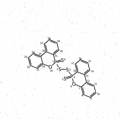 S=P1(SSP2(=S)Oc3ccccc3-c3ccccc32)Oc2ccccc2-c2ccccc21